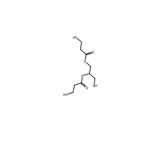 O=C(CCS)OCC(CO)OC(=O)CCS